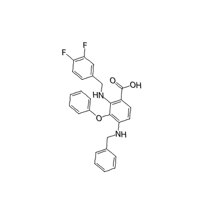 O=C(O)c1ccc(NCc2ccccc2)c(Oc2ccccc2)c1NCc1ccc(F)c(F)c1